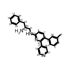 Cc1cccc(-c2ccc(NC[C@H](N)Cc3ccccc3)nc2-c2ccncc2)c1